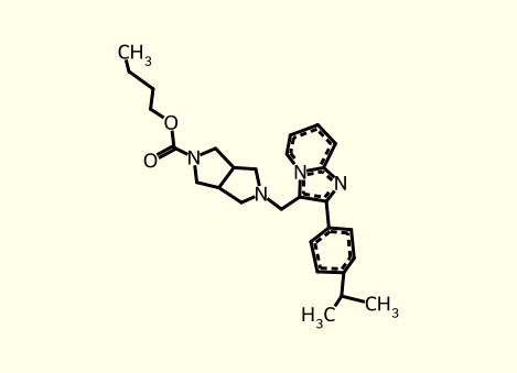 CCCCOC(=O)N1CC2CN(Cc3c(-c4ccc(C(C)C)cc4)nc4ccccn34)CC2C1